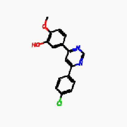 COc1ccc(-c2cc(-c3ccc(Cl)cc3)ncn2)cc1O